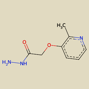 Cc1ncccc1OCC(=O)NN